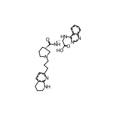 O=C(NC[C@H](Nc1ncnc2ccccc12)C(=O)O)[C@@H]1CCCN(CCCc2ccc3c(n2)NCCC3)C1